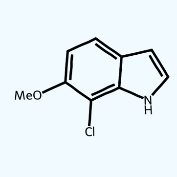 COc1ccc2cc[nH]c2c1Cl